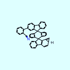 N#Cc1ccccc1-c1ccc2c(c1)C1(c3ccccc3-2)c2ccccc2C2(C3=C(C=C[C@@H]4C=C34)c3ccccc32)c2ccccc21